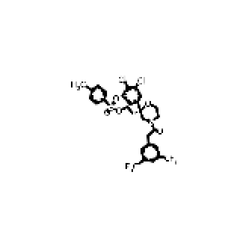 Cc1ccc(S(=O)(=O)OCC[C@@]2(c3ccc(Cl)c(Cl)c3)CN(C(=O)Cc3cc(C(F)(F)F)cc(C(F)(F)F)c3)CCO2)cc1